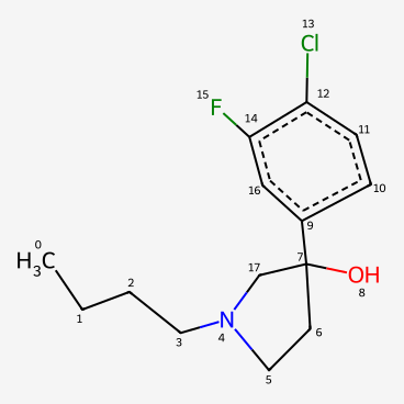 CCCCN1CCC(O)(c2ccc(Cl)c(F)c2)C1